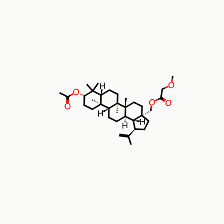 C=C(C)[C@@H]1CC[C@]2(COC(=O)COC)CC[C@]3(C)[C@H](CC[C@@H]4[C@@]5(C)CC[C@H](OC(C)=O)C(C)(C)[C@@H]5CC[C@]43C)[C@@H]12